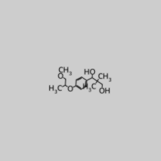 COCC(C)Oc1ccc(C(O)C(C)(C)CO)cc1